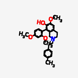 COc1ccc(-c2c(O)c(OC)cc3c2CN(CCc2ccc(C)cc2)CC3)c(OC)c1